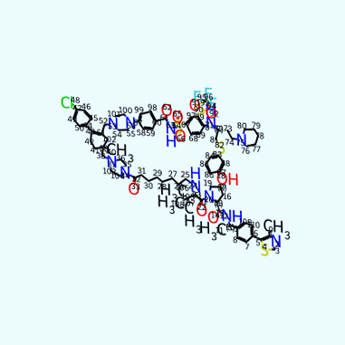 Cc1ncsc1-c1ccc([C@H](C)NC(=O)[C@@H]2C[C@@H](O)CN2C(=O)[C@@H](NCCCCCCCC(=O)N2CCN(C[C@]3(C)CCC(c4ccc(Cl)cc4)=C(CN4CCN(c5ccc(C(=O)NS(=O)(=O)c6ccc(N[C@H](CCN7CCCCC7)CSc7ccccc7)c(S(=O)(=O)C(F)(F)F)c6)cc5)CC4)C3)CC2)C(C)(C)C)cc1